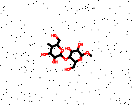 COC1OC(CO)C(OC2OC(CO)C(C)C(O)C2O)C(O)C1O